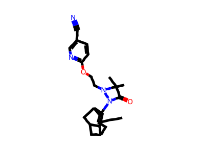 CC1CC2CC3CC(CC23)C1N1C(=O)C(C)(C)N1CCOc1ccc(C#N)cn1